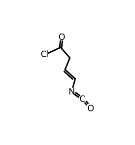 O=C=NC=CCC(=O)Cl